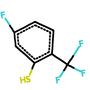 Fc1ccc(C(F)(F)F)c(S)c1